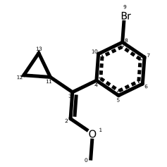 CO/C=C(\c1cccc(Br)c1)C1CC1